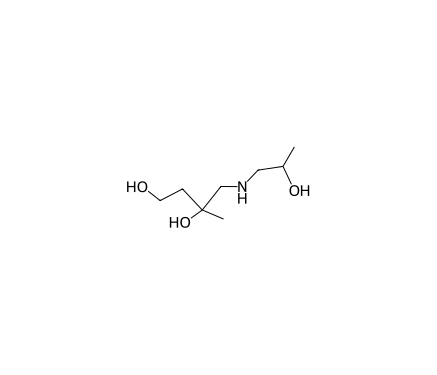 CC(O)CNCC(C)(O)CCO